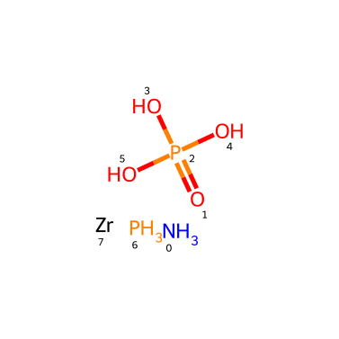 N.O=P(O)(O)O.P.[Zr]